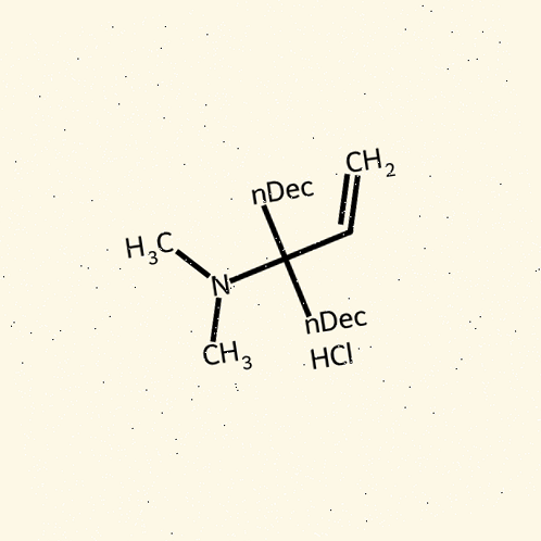 C=CC(CCCCCCCCCC)(CCCCCCCCCC)N(C)C.Cl